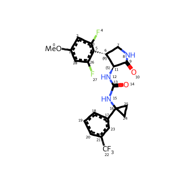 COc1cc(F)c([C@@H]2CNC(=O)[C@H]2NC(=O)NC2(c3cccc(C(F)(F)F)c3)CC2)c(F)c1